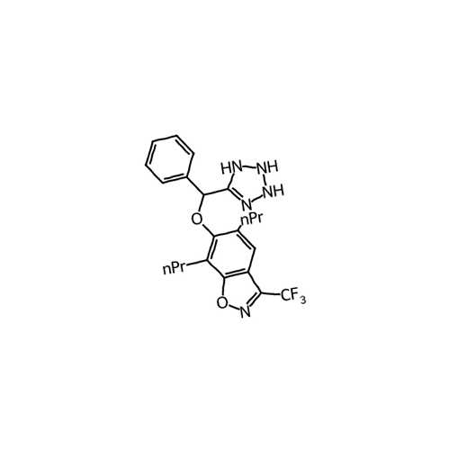 CCCc1cc2c(C(F)(F)F)noc2c(CCC)c1OC(C1=NNNN1)c1ccccc1